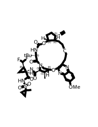 C#C[C@H]1CC[C@H]2OC(=O)N[C@@H](C(C)(C)C)C(=O)N3C[C@H](Oc4nc5cc(OC)ccc5nc4CCCCC[C@H]12)[C@@H](C)[C@H]3C(=O)N[C@]1(C(=O)NS(=O)(=O)C2(C)CC2)C[C@H]1C(F)F